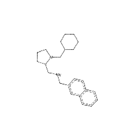 c1ccc2cc(CNCC3CCCN3CC3CCCCC3)ccc2c1